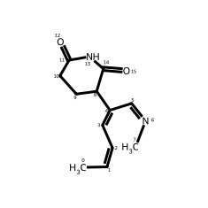 C\C=C/C=C(\C=N/C)C1CCC(=O)NC1=O